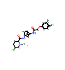 CN1CC(Cl)CCC1C(=O)NC12CC(C1)C(NC(=O)COc1ccc(Cl)c(Cl)c1)C2